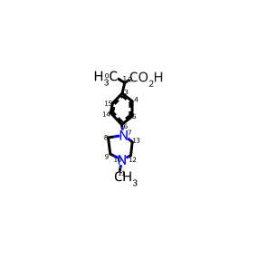 CC(C(=O)O)c1ccc(N2CCN(C)CC2)cc1